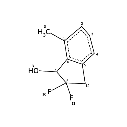 Cc1cccc2c1C(O)C(F)(F)C2